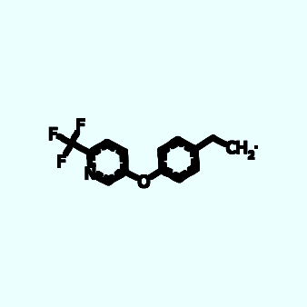 [CH2]Cc1ccc(Oc2ccc(C(F)(F)F)nc2)cc1